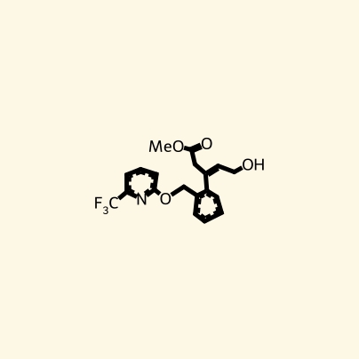 COC(=O)C/C(=C/CO)c1ccccc1COc1cccc(C(F)(F)F)n1